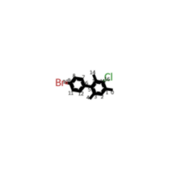 Cc1cc(C)c(-c2ccc(Br)cc2)c(C)c1Cl